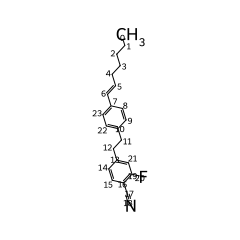 CCCCCC=Cc1ccc(CCc2ccc(C#N)c(F)c2)cc1